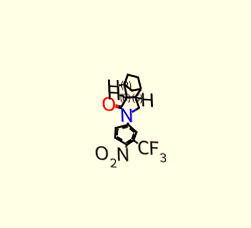 O=C1[C@@H]2[C@@H]3CCC(C3)[C@@H]2CN1c1ccc([N+](=O)[O-])c(C(F)(F)F)c1